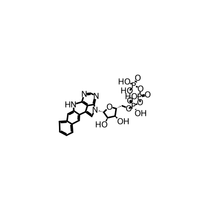 O=P(O)(O)OP(=O)(O)OP(=O)(O)OC[C@H]1O[C@@H](n2cc3c4c(ncnc42)Nc2cc4ccccc4cc2-3)[C@H](O)[C@@H]1O